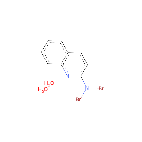 BrN(Br)c1ccc2ccccc2n1.O.O